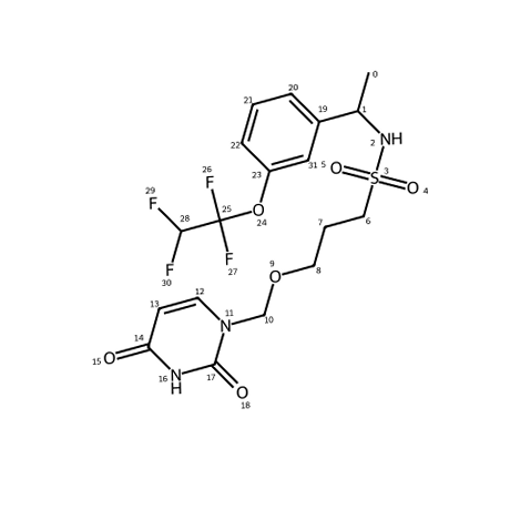 CC(NS(=O)(=O)CCCOCn1ccc(=O)[nH]c1=O)c1cccc(OC(F)(F)C(F)F)c1